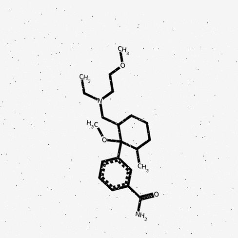 CCN(CCOC)CC1CCCC(C)C1(OC)c1cccc(C(N)=O)c1